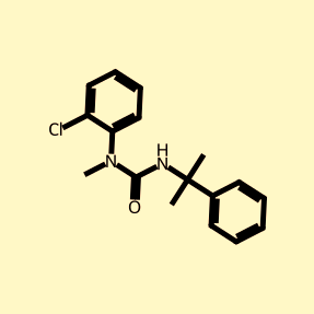 CN(C(=O)NC(C)(C)c1ccccc1)c1ccccc1Cl